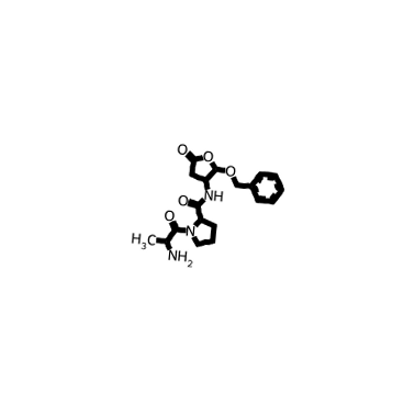 CC(N)C(=O)N1CCCC1C(=O)NC1CC(=O)OC1OCc1ccccc1